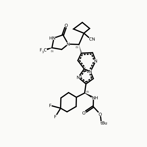 CC(C)(C)OC(=O)N[C@H](c1cn2ncc([C@H](N3C[C@@H](C(F)(F)F)NC3=O)C3(C#N)CCC3)cc2n1)C1CCC(F)(F)CC1